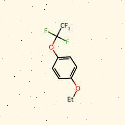 CCOc1ccc(OC(F)(F)C(F)(F)F)cc1